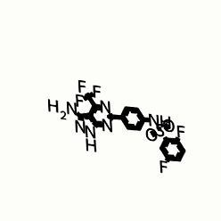 Nc1n[nH]c2nc(-c3ccc(NS(=O)(=O)c4cc(F)ccc4F)cc3)nc(C(F)(F)F)c12